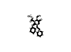 CC(C)C[C@H]1C(=O)CN(CCN2CCCCC2)C(=NC2CCCCC2)N1C(=O)OC(C)(C)C